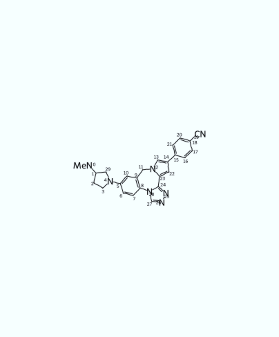 CNC1CCN(c2ccc3c(c2)Cn2cc(-c4ccc(C#N)cc4)cc2-c2nncn2-3)C1